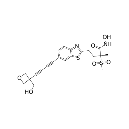 C[C@@](CCc1nc2ccc(C#CC#CC3(CO)COC3)cc2s1)(C(=O)NO)S(C)(=O)=O